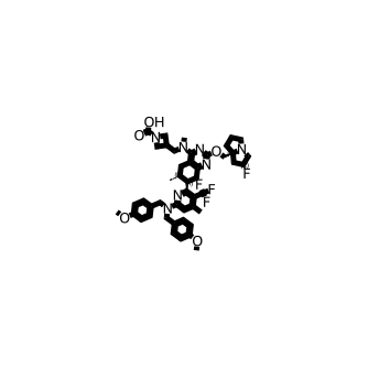 COc1ccc(CN(Cc2ccc(OC)cc2)c2cc(C)c(C(F)(F)F)c([C@@H]3Cc4nc(OC[C@@]56CCCN5C[C@H](F)C6)nc(N(C)CC5CN(C(=O)O)C5)c4C[C@H]3C)n2)cc1